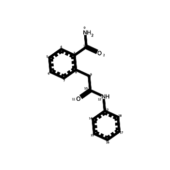 NC(=O)c1ccccc1[CH]C(=O)Nc1ccccc1